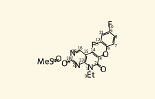 CCn1c(=O)c(Oc2ccc(F)cc2F)cc2cnc(OOSC)nc21